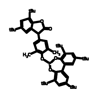 Cc1cc(C2C(=O)Oc3c2cc(C(C)(C)C)cc3C(C)(C)C)cc(C)c1Op1oc2c(C(C)(C)C)cc(C(C)(C)C)cc2c2cc(C(C)(C)C)cc(C(C)(C)C)c2o1